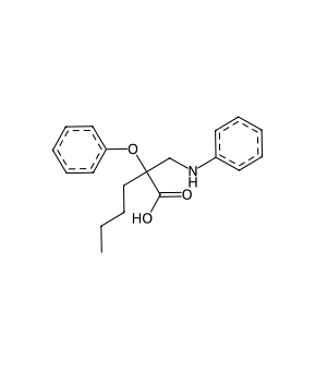 CCCCC(CNc1ccccc1)(Oc1ccccc1)C(=O)O